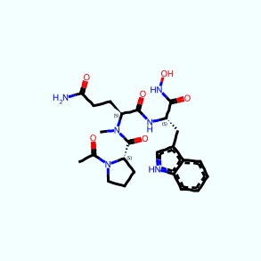 CC(=O)N1CCC[C@H]1C(=O)N(C)[C@@H](CCC(N)=O)C(=O)N[C@@H](Cc1c[nH]c2ccccc12)C(=O)NO